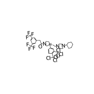 O=C(Cc1cc(C(F)(F)F)cc(C(F)(F)F)c1)N1CC[C@@](CCN2CCN(C3CCCCC3)CC2)(c2ccc(C(Cl)(Cl)Cl)c(C(Cl)(Cl)Cl)c2)C1